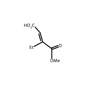 CC/C(=C\C(=O)O)C(=O)OC